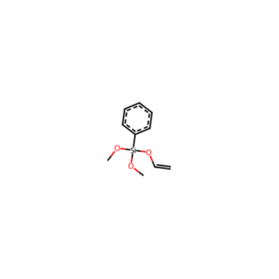 C=CO[Si](OC)(OC)c1ccccc1